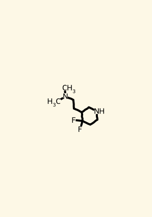 CN(C)CCC1CNCCC1(F)F